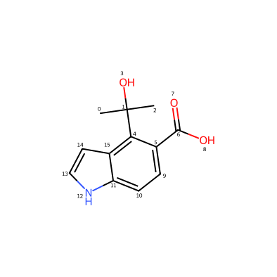 CC(C)(O)c1c(C(=O)O)ccc2[nH]ccc12